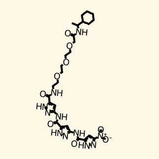 CC(NC(=O)COCCOCCOCCNC(=O)c1cc(NC(=O)c2cc(NC(=O)c3cc([N+](=O)[O-])n[nH]3)n[nH]2)n[nH]1)C1CCCCC1